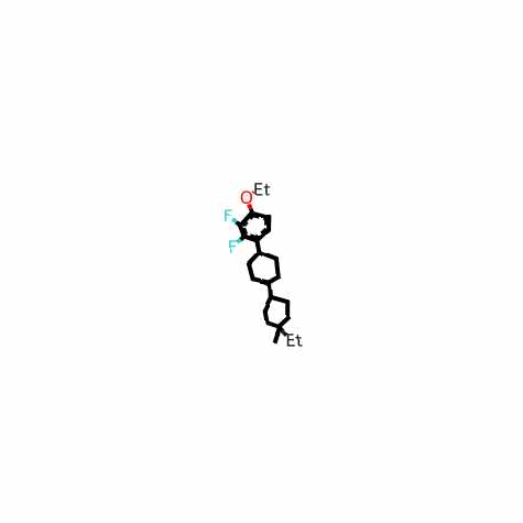 CCOc1ccc(C2CCC(C3CCC(C)(CC)CC3)CC2)c(F)c1F